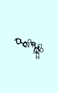 CC1(C)CC=C(c2ccnc(O[C@@H]3CCN(c4cn[nH]c(=O)c4Cl)C3)c2)CC1